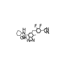 Cc1c(Cc2ccc(-c3cnn(C)c3)c(F)c2F)cc(C(=O)N[C@@H]2CCCC[C@H]2O)c2c1ncn2C